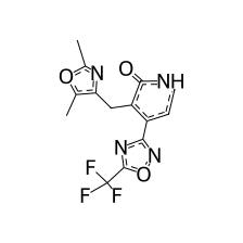 Cc1nc(Cc2c(-c3noc(C(F)(F)F)n3)cc[nH]c2=O)c(C)o1